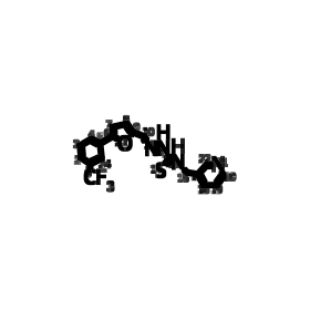 FC(F)(F)c1cccc(-c2ccc(C=NNC(=S)NCc3cccnc3)o2)c1